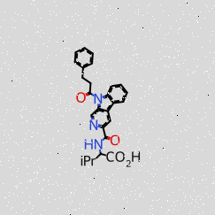 CC(C)C(NC(=O)c1cc2c3ccccc3n(C(=O)CCc3ccccc3)c2cn1)C(=O)O